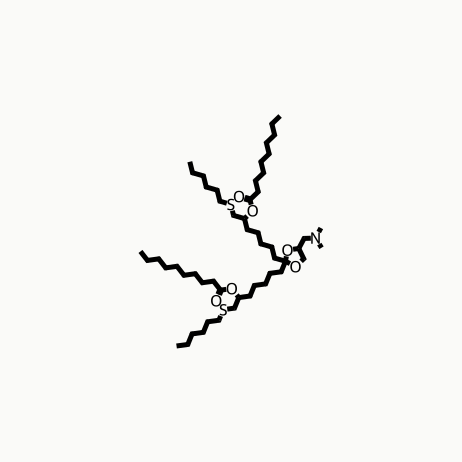 CCCCCCCCCC(=O)OC(CCCCCC1(CCCCCC(CSCCCCCC)OC(=O)CCCCCCCCC)OCC(CN(C)C)O1)CSCCCCCC